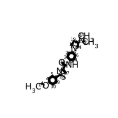 CCOc1ccc(-c2nc(C(=O)Nc3ccc(N4CCC(N(C)C)C4)cc3)cs2)cc1